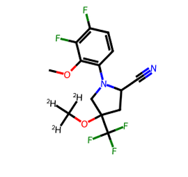 [2H]C([2H])([2H])OC1(C(F)(F)F)CC(C#N)N(c2ccc(F)c(F)c2OC)C1